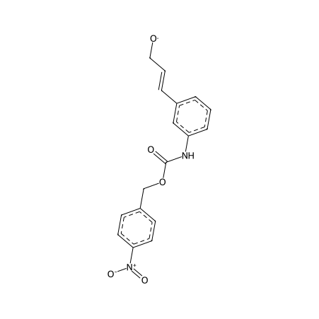 [O]CC=Cc1cccc(NC(=O)OCc2ccc([N+](=O)[O-])cc2)c1